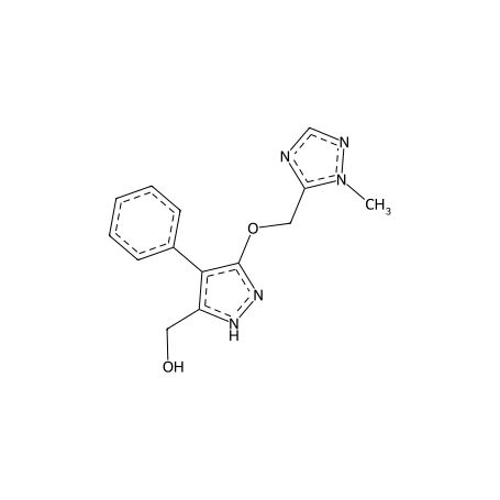 Cn1ncnc1COc1n[nH]c(CO)c1-c1ccccc1